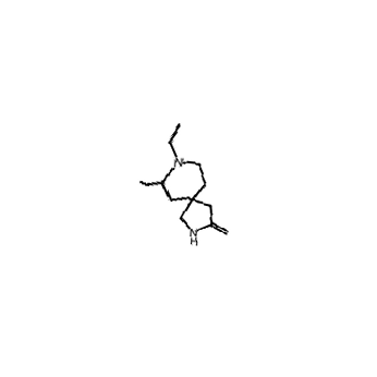 C=C1CC2(CCN(CC)C(C)C2)CN1